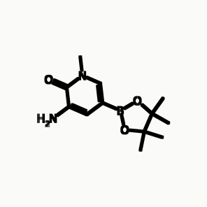 Cn1cc(B2OC(C)(C)C(C)(C)O2)cc(N)c1=O